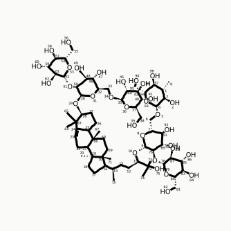 C[C@@H]1[C@@H](O)[C@H](OC[C@H]2O[C@@H](O[C@H](CC[C@@H](C)C3CC[C@@]4(C)C5CC=C6C(CC[C@H](O[C@@H]7O[C@H](CO[C@@H]8O[C@H](CO)[C@@H](O)[C@H](O)[C@H]8O)[C@@H](O)[C@H](O)[C@H]7O[C@H]7O[C@@H](CO)[C@H](O)[C@@H](O)[C@@H]7O)C6(C)C)[C@]5(C)CC[C@]34C)C(C)(C)O)[C@H](O[C@H]3O[C@@H](CO)[C@H](O)[C@@H](O)[C@@H]3O)[C@@H](O)[C@@H]2O)O[C@H](CO)[C@H]1O